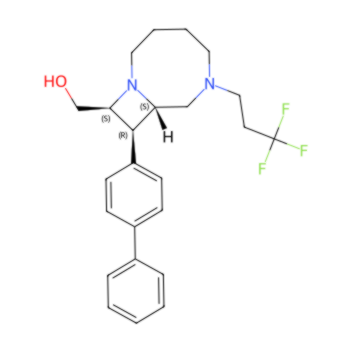 OC[C@@H]1[C@H](c2ccc(-c3ccccc3)cc2)[C@H]2CN(CCC(F)(F)F)CCCCN12